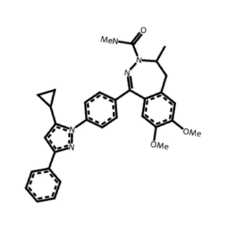 CNC(=O)N1N=C(c2ccc(-n3nc(-c4ccccc4)cc3C3CC3)cc2)c2cc(OC)c(OC)cc2CC1C